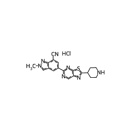 Cl.Cn1cc2cc(-c3ncc4nc(C5CCNCC5)sc4n3)cc(C#N)c2n1